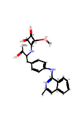 COC(=O)C(Cc1ccc(Nc2nc(C)cc3ccccc23)cc1)Nc1c(OC(C)C)c(=O)c1=O